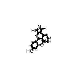 Cc1n[nH]c2nc(-c3ccc(O)cc3)c3c(=O)[nH]ccc3c12